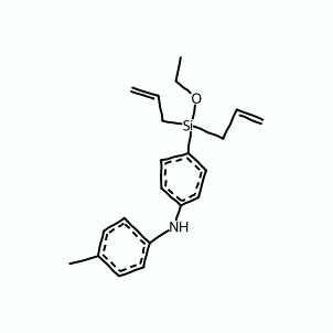 C=CC[Si](CC=C)(OCC)c1ccc(Nc2ccc(C)cc2)cc1